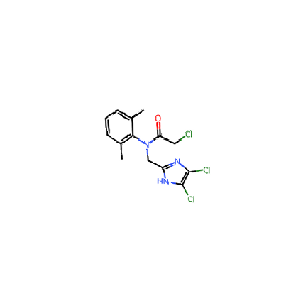 Cc1cccc(C)c1N(Cc1nc(Cl)c(Cl)[nH]1)C(=O)CCl